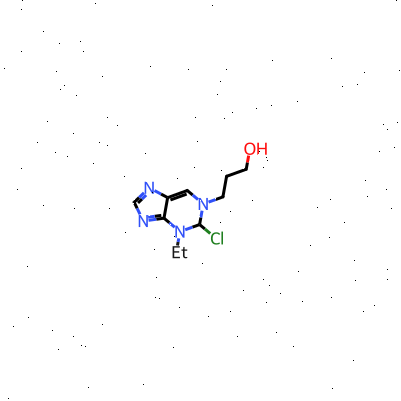 CCN1C2=NC=NC2=CN(CCCO)C1Cl